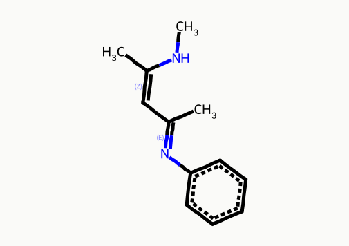 CN/C(C)=C\C(C)=N\c1ccccc1